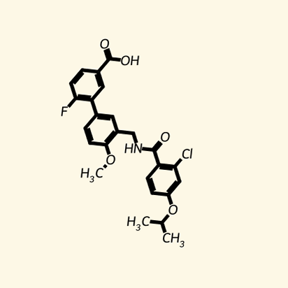 COc1ccc(-c2cc(C(=O)O)ccc2F)cc1CNC(=O)c1ccc(OC(C)C)cc1Cl